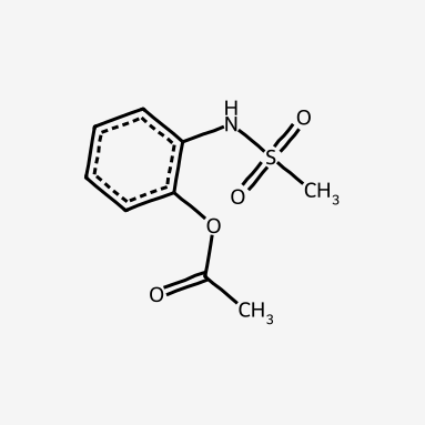 CC(=O)Oc1ccccc1NS(C)(=O)=O